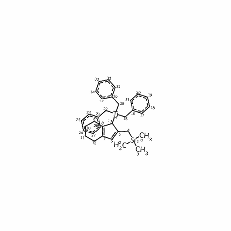 C[Si](C)(C)CC1=CC2=C(CCCC2)[CH]1[Ti]([CH2]c1ccccc1)([CH2]c1ccccc1)[CH2]c1ccccc1